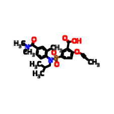 CC#COc1ccc(S(=O)(=O)N(CC(C)C)c2ccc(C(=O)N(C)C)cc2C)cc1C(=O)O